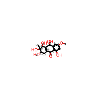 COc1cc(O)c2c(c1)C(O)C1=C(CC(O)C(C)(O)C1O)C2=O